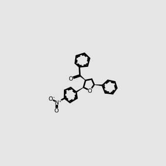 O=C(c1ccccc1)[C@H]1C[C@@H](c2ccccc2)O[C@H]1c1ccc([N+](=O)[O-])cc1